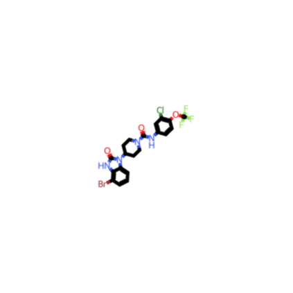 O=C(Nc1ccc(OC(F)(F)F)c(Cl)c1)N1CCC(n2c(=O)[nH]c3c(Br)cccc32)CC1